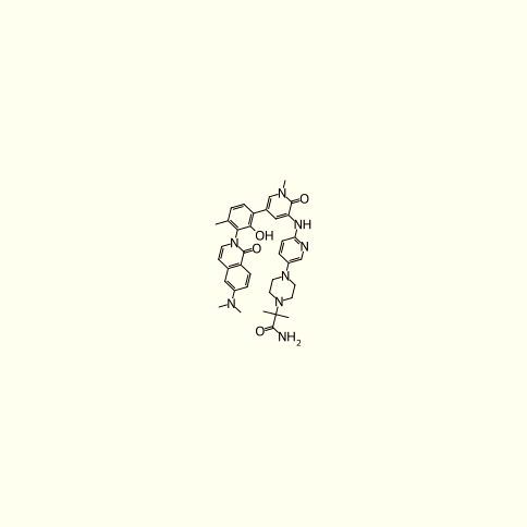 Cc1ccc(-c2cc(Nc3ccc(N4CCN(C(C)(C)C(N)=O)CC4)cn3)c(=O)n(C)c2)c(O)c1-n1ccc2cc(N(C)C)ccc2c1=O